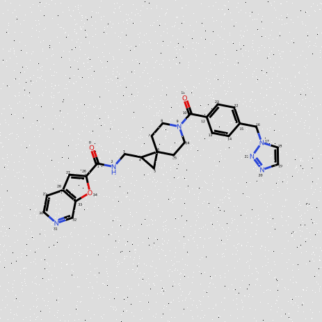 O=C(NCC1CC12CCN(C(=O)c1ccc(Cn3ccnn3)cc1)CC2)c1cc2ccncc2o1